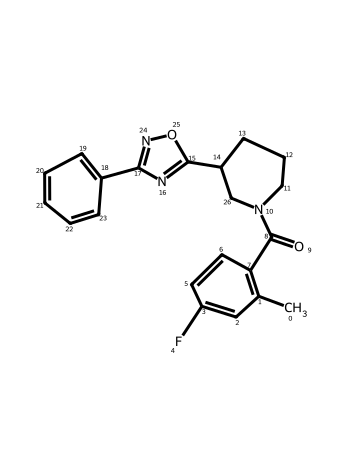 Cc1cc(F)ccc1C(=O)N1CCCC(c2nc(-c3ccccc3)no2)C1